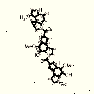 COc1c(O)c2c(c3cc(C(=O)N4CCc5c4c(O)c(OC)c4[nH]c(C(=O)N6CC7CC78C6=CC(=O)c6[nH]cc(C)c68)cc54)[nH]c13)CCN2C(C)=O